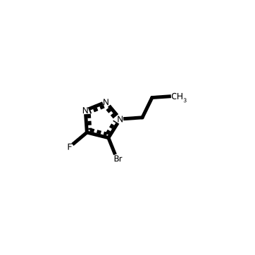 CCCn1nnc(F)c1Br